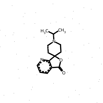 CC(C)N1CCC2(CC1)OC(=O)c1cccnc12